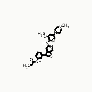 C=CC(=O)Nc1cccc(-c2csc3cnc(Nc4ncc(N5CCN(C)CC5)cc4OC)cc23)c1